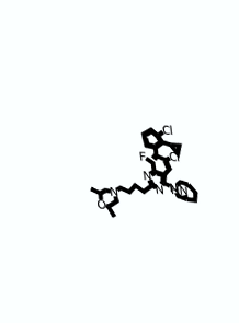 C=C(/C(Cl)=C\c1c(CF)nc(CCCCN2CC(C)OC(C)C2)nc1N1CC2CCC(C1)N2)c1cccc(Cl)c1C1CC1